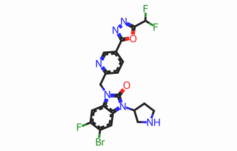 O=c1n(Cc2ccc(-c3nnc(C(F)F)o3)cn2)c2cc(F)c(Br)cc2n1C1CCNC1